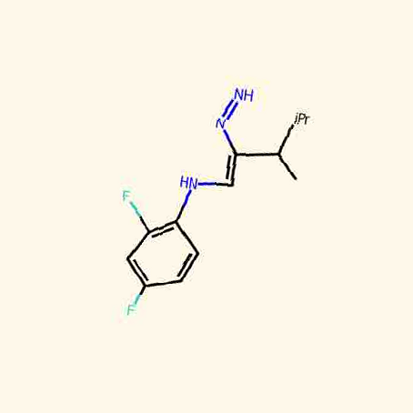 CC(C)C(C)/C(=C/Nc1ccc(F)cc1F)N=N